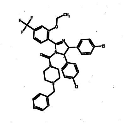 CCOc1cc(C(F)(F)F)ccc1C1=NC(c2ccc(Cl)cc2)C(c2ccc(Cl)cc2)N1C(=O)N1CCN(Cc2ccncc2)CC1